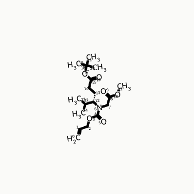 C=CCOC(=O)N(CC(=O)OC)[C@@H](CCC(=O)OC(C)(C)C)C(C)C